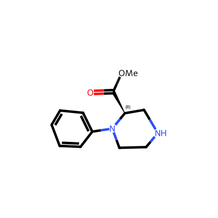 COC(=O)[C@H]1CNCCN1c1ccccc1